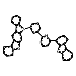 c1cc(-c2nccc(-c3cccc4c3sc3ccccc34)n2)cc(-n2c3ccccc3c3cc4c(cc32)sc2ccccc24)c1